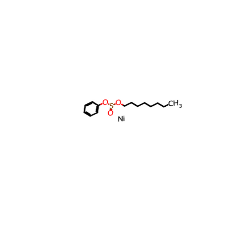 CCCCCCCCOS(=O)Oc1ccccc1.[Ni]